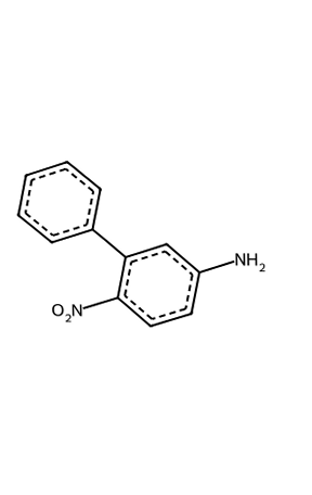 Nc1ccc([N+](=O)[O-])c(-c2ccccc2)c1